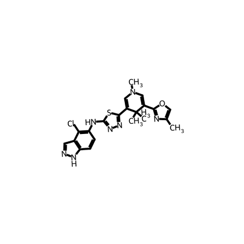 Cc1coc(C2=CN(C)C=C(c3nnc(Nc4ccc5[nH]ncc5c4Cl)s3)C2(C)C)n1